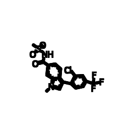 Cn1cc(-c2ccc(C(F)(F)F)cc2Cl)c2ccc(C(=O)NS(C)(=O)=O)cc21